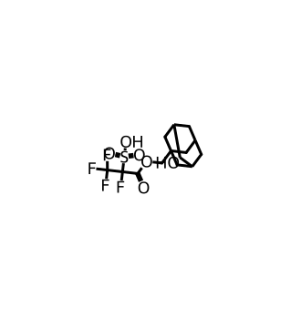 O=C(OCC12CC3CC(C1)C(O)C(C3)C2)C(F)(C(F)(F)F)S(=O)(=O)O